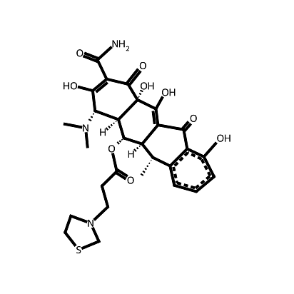 C[C@H]1c2cccc(O)c2C(=O)C2=C(O)[C@]3(O)C(=O)C(C(N)=O)=C(O)[C@@H](N(C)C)[C@@H]3[C@@H](OC(=O)CCN3CCSC3)[C@@H]21